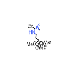 CCC(NCCC[Si](OC)(OC)OC)N(C)C